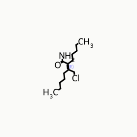 CCCCC/C(CCl)=C(/CCCCC)C(N)=O